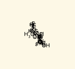 CCN(C(=O)C(C)C[S+]([O-])CCC(F)(F)F)c1cn(-c2cc(F)c[n+](OO)c2)nc1Cl